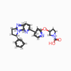 O=C(O)N1CCC(Oc2cc(-c3ccc4nc5n(c4n3)[C@@H](c3ccccc3)CC5)ccn2)C1